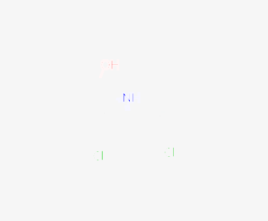 OCc1cc2c(Cl)cc(Cl)c(F)c2[nH]1